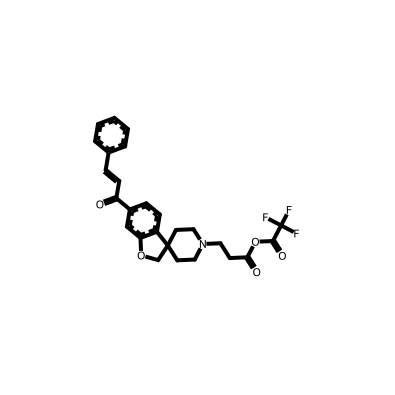 O=C(CCN1CCC2(CC1)COc1cc(C(=O)/C=C/c3ccccc3)ccc12)OC(=O)C(F)(F)F